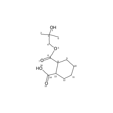 CC(C)(O)COC(=O)C1CCCCC1C(=O)O